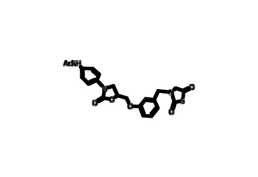 CC(=O)Nc1ccc(N2CC(COc3cccc(CN4CC(=O)SC4=O)c3)OC2=O)cc1